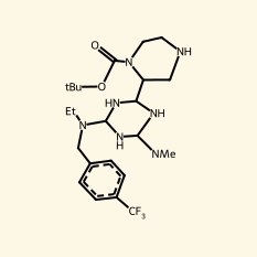 CCN(Cc1ccc(C(F)(F)F)cc1)C1NC(NC)NC(C2CNCCN2C(=O)OC(C)(C)C)N1